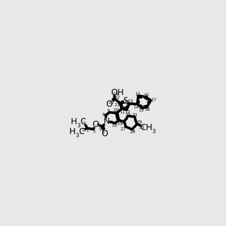 CC(C)COC(=O)N1CCC(c2cc(-c3ccccc3)sc2C(=O)O)=C(C2CCC(C)CC2)C1